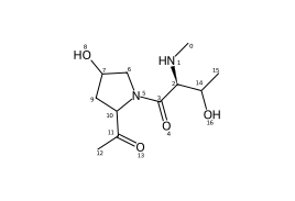 CN[C@H](C(=O)N1CC(O)CC1C(C)=O)C(C)O